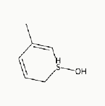 CC1=C[SH](O)CC=C1